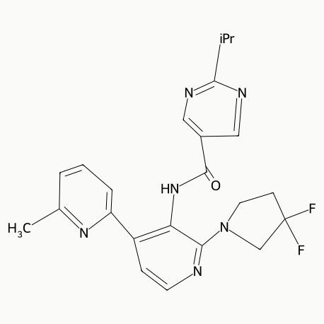 Cc1cccc(-c2ccnc(N3CCC(F)(F)C3)c2NC(=O)c2cnc(C(C)C)nc2)n1